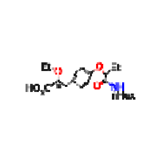 CCCCCCNC(=O)C(CC)Oc1ccc(C[C@H](OCC)C(=O)O)cc1